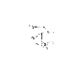 CCC[S-].CCC[S-].[CH3][Sn+2][CH3]